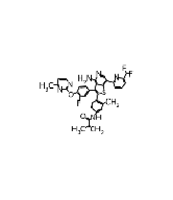 C=C(C)C(=O)Nc1ccc(-c2sc3c(-c4cccc(C(F)F)n4)cnc(N)c3c2-c2ccc(Oc3nccc(C)n3)c(F)c2)c(C)c1